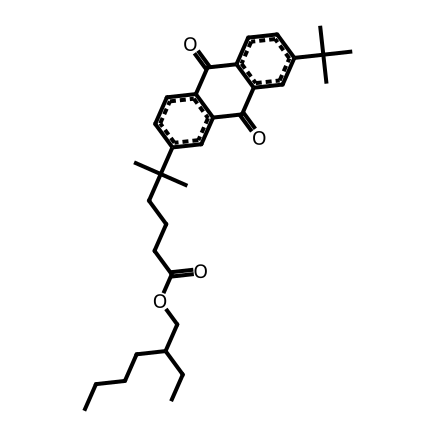 CCCCC(CC)COC(=O)CCCC(C)(C)c1ccc2c(c1)C(=O)c1cc(C(C)(C)C)ccc1C2=O